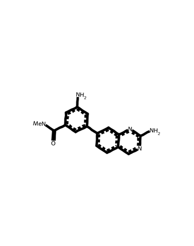 CNC(=O)c1cc(N)cc(-c2ccc3cnc(N)nc3c2)c1